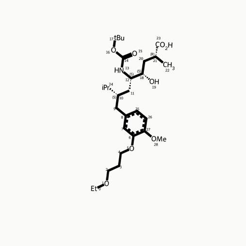 CCOCCCOc1cc(C[C@@H](C[C@H](NC(=O)OC(C)(C)C)[C@@H](O)C[C@@H](C)C(=O)O)C(C)C)ccc1OC